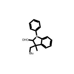 CC(C)(C)CC1(C)c2ccccc2N(c2ccccc2)C1C=O